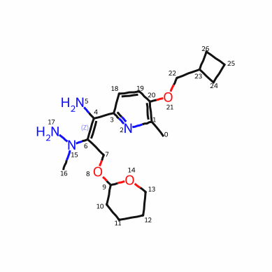 Cc1nc(/C(N)=C(\COC2CCCCO2)N(C)N)ccc1OCC1CCC1